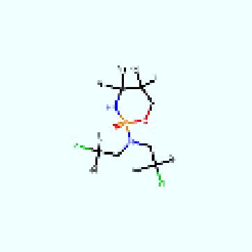 [2H]C([2H])(Cl)CN(CC([2H])([2H])Cl)P1(=O)NC([2H])([2H])C([2H])([2H])CO1